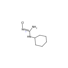 N/C(=N\Cl)NC1CCCCC1